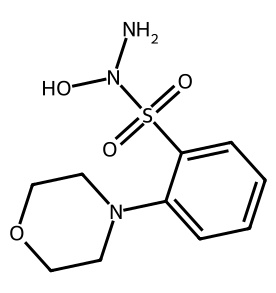 NN(O)S(=O)(=O)c1ccccc1N1CCOCC1